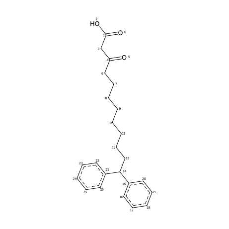 O=C(O)CC(=O)CCCCCCCCC(c1ccccc1)c1ccccc1